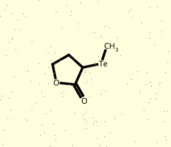 C[Te]C1CCOC1=O